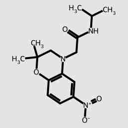 CC(C)NC(=O)CN1CC(C)(C)Oc2ccc([N+](=O)[O-])cc21